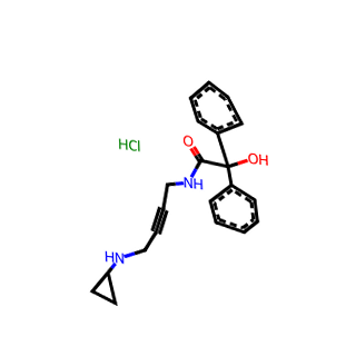 Cl.O=C(NCC#CCNC1CC1)C(O)(c1ccccc1)c1ccccc1